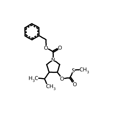 CSC(=O)OC1CN(C(=O)OCc2ccccc2)CC1C(C)C